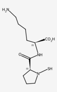 NCCCC[C@H](NC(=O)[C@@H]1CCCN1S)C(=O)O